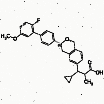 COc1ccc(F)c(-c2ccc([C@H]3Cc4cc(C(C5CC5)C(C)C(=O)O)ccc4CO3)cc2)c1